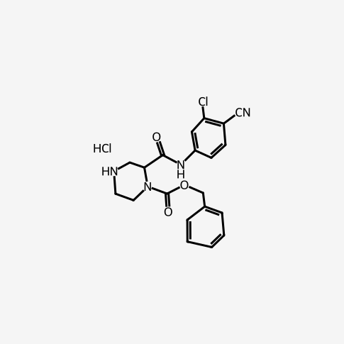 Cl.N#Cc1ccc(NC(=O)C2CNCCN2C(=O)OCc2ccccc2)cc1Cl